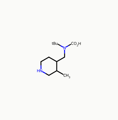 CC1CNCCC1CN(C(=O)O)C(C)(C)C